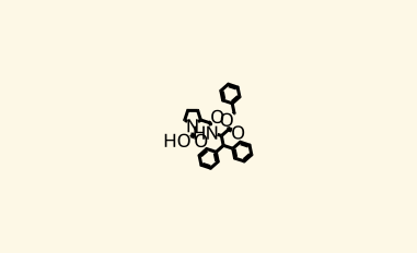 O=C(OCc1ccccc1)C(NC(=O)C1CCCN1C(=O)O)C(c1ccccc1)c1ccccc1